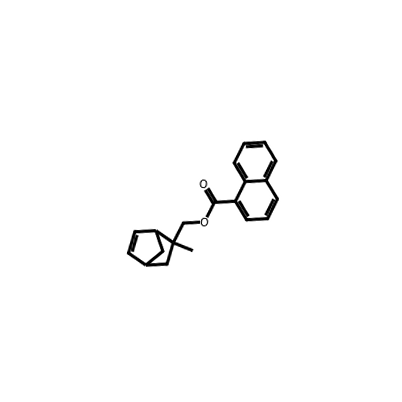 CC1(COC(=O)c2cccc3ccccc23)CC2C=CC1C2